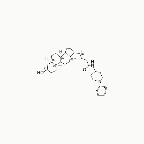 C[C@H](CCC(=O)NC1CCN(c2ccccc2)CC1)C1CCC2[C@@H]3CC[C@@H]4C[C@H](O)CC[C@]4(C)C3CC[C@@]21C